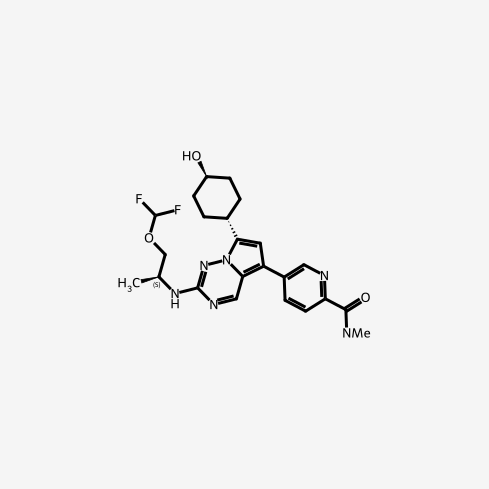 CNC(=O)c1ccc(-c2cc([C@H]3CC[C@H](O)CC3)n3nc(N[C@@H](C)COC(F)F)ncc23)cn1